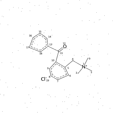 C[N+](C)(C)Cc1ccccc1C(=O)c1ccccc1.[Cl-]